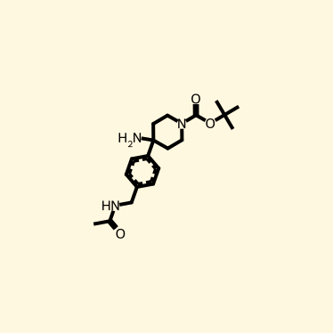 CC(=O)NCc1ccc(C2(N)CCN(C(=O)OC(C)(C)C)CC2)cc1